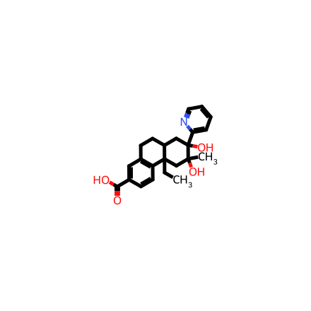 CCC12CC(C)(O)C(O)(c3ccccn3)CC1CCc1cc(C(=O)O)ccc12